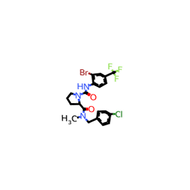 CN(Cc1ccc(Cl)cc1)C(=O)C1CCCN1C(=O)Nc1ccc(C(F)(F)F)cc1Br